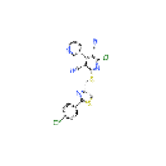 N#Cc1c(Cl)nc(SCc2csc(-c3ccc(Cl)cc3)n2)c(C#N)c1-c1cccnc1